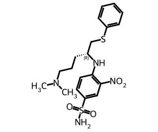 CN(C)CCC[C@H](CSc1ccccc1)Nc1ccc(S(N)(=O)=O)cc1[N+](=O)[O-]